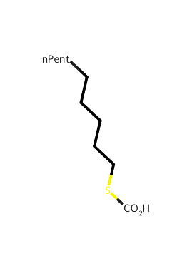 CCCCCCCCCCSC(=O)O